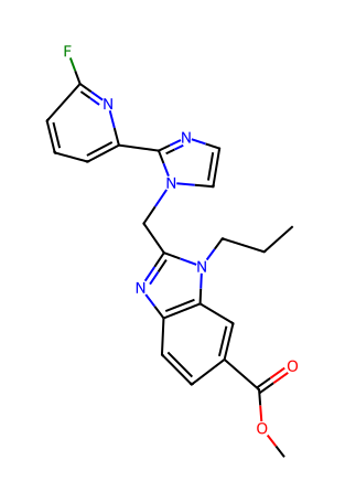 CCCn1c(Cn2ccnc2-c2cccc(F)n2)nc2ccc(C(=O)OC)cc21